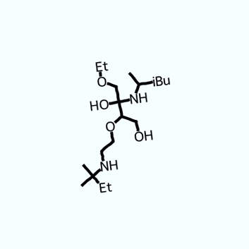 CCOCC(O)(NC(C)C(C)CC)C(CO)OCCNC(C)(C)CC